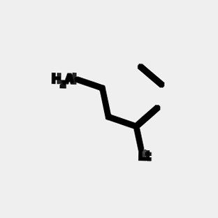 CC.CCC(C)C[CH2][AlH2]